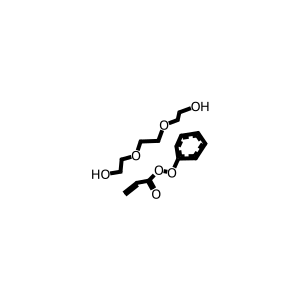 C=CC(=O)OOc1ccccc1.OCCOCCOCCO